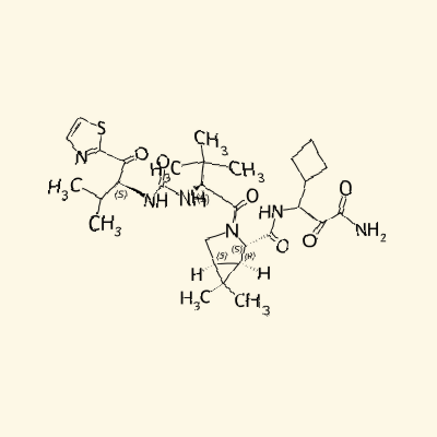 CC(C)[C@H](NC(=O)N[C@H](C(=O)N1C[C@H]2[C@@H]([C@H]1C(=O)NC(C(=O)C(N)=O)C1CCC1)C2(C)C)C(C)(C)C)C(=O)c1nccs1